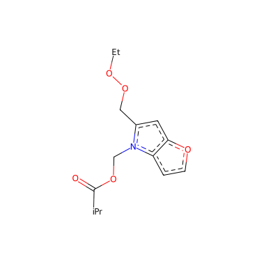 CCOOCc1cc2occc2n1COC(=O)C(C)C